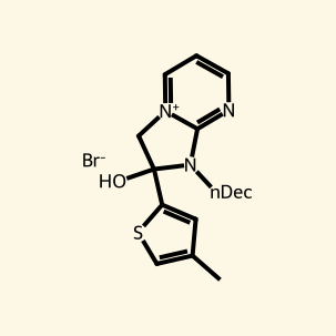 CCCCCCCCCCN1c2nccc[n+]2CC1(O)c1cc(C)cs1.[Br-]